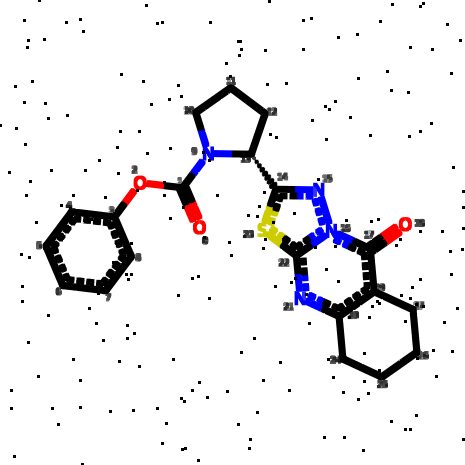 O=C(Oc1ccccc1)N1CCC[C@@H]1c1nn2c(=O)c3c(nc2s1)CCCC3